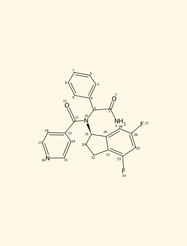 NC(=O)C(c1ccccc1)N(C(=O)c1ccncc1)[C@@H]1CCc2c(F)cc(F)cc21